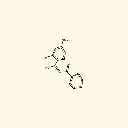 COc1ccc(/C(O)=C\C(=N)c2ccccc2)c(I)c1